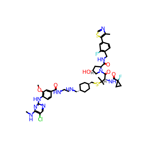 CNc1nc(Nc2ccc(C(=O)NCCNC[C@H]3CC[C@H](CSC(C)(C)[C@H](NC(=O)C4(F)CC4)C(=O)N4C[C@H](O)CC4C(=O)NCc4ccc(-c5scnc5C)cc4F)CC3)cc2OC)ncc1Cl